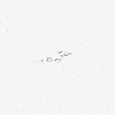 CC(C)NC(=O)O[C@H]1C[C@@H](c2cc(Nc3nc(Cl)cn4nc(COC(F)(F)F)cc34)n[nH]2)C[C@H]1F